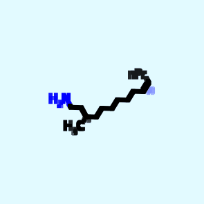 CCC/C=C\CCCCCC[C@H](C)CCN